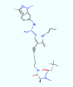 C=C(NCCC)/C(C#CCCCNC(=O)[C@H](C)N(C)C(=O)OC(C)(C)C)=C\N=C(/N)Nc1ccc2c(F)nn(C)c2c1